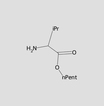 CCCCCOC(=O)C(N)C(C)C